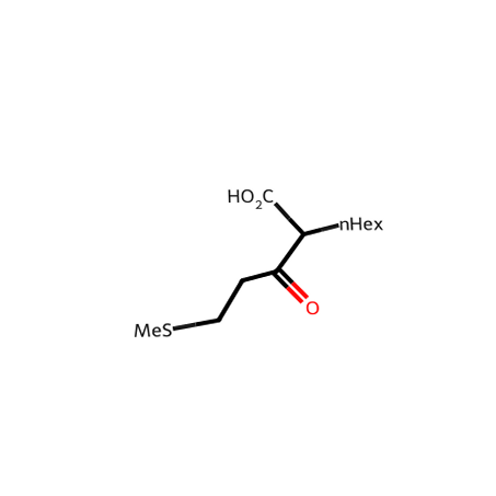 CCCCCCC(C(=O)O)C(=O)CCSC